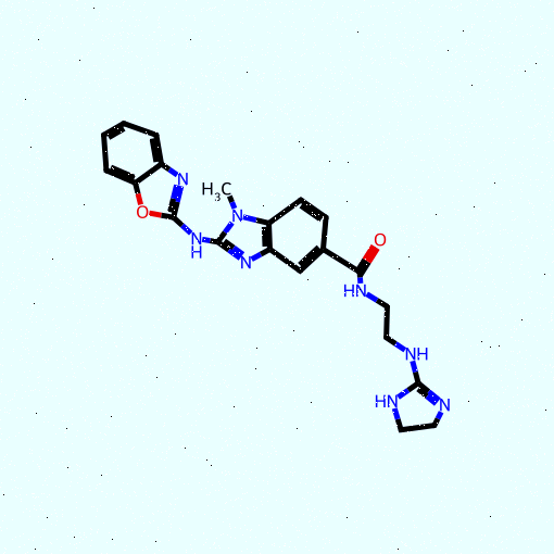 Cn1c(Nc2nc3ccccc3o2)nc2cc(C(=O)NCCNC3=NCCN3)ccc21